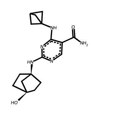 NC(=O)c1cnc(N[C@]23CC[C@](O)(CC2)C3)nc1NC12CC(C1)C2